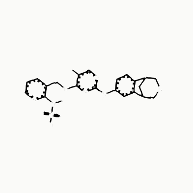 CN(c1ncccc1CNc1nc(Nc2ccc3c(c2)C2CNCC3C2)ncc1C(F)(F)F)S(C)(=O)=O